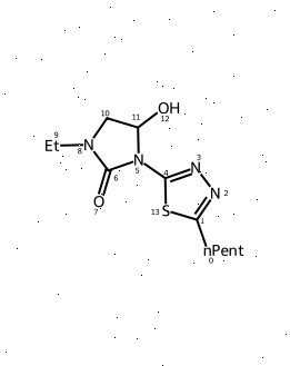 CCCCCc1nnc(N2C(=O)N(CC)CC2O)s1